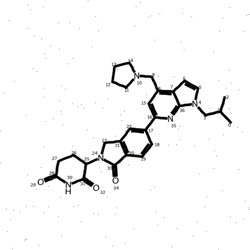 CC(C)Cn1ccc2c(CN3CCCC3)cc(-c3ccc4c(c3)CN(C3CCC(=O)NC3=O)C4=O)nc21